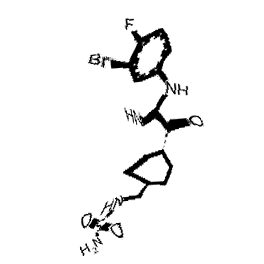 N=C(Nc1ccc(F)c(Br)c1)C(=O)[C@H]1CC[C@H](CNS(N)(=O)=O)CC1